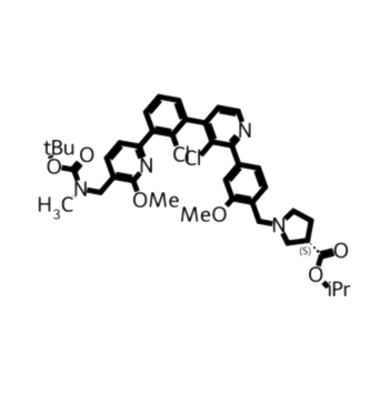 COc1cc(-c2nccc(-c3cccc(-c4ccc(CN(C)C(=O)OC(C)(C)C)c(OC)n4)c3Cl)c2Cl)ccc1CN1CC[C@H](C(=O)OC(C)C)C1